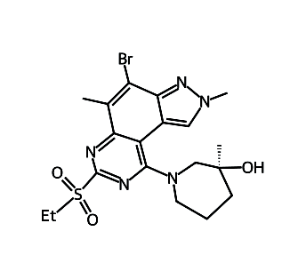 CCS(=O)(=O)c1nc(N2CCC[C@](C)(O)C2)c2c(n1)c(C)c(Br)c1nn(C)cc12